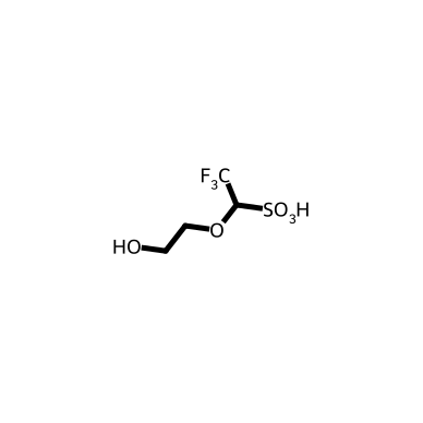 O=S(=O)(O)C(OCCO)C(F)(F)F